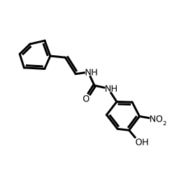 O=C(NC=Cc1ccccc1)Nc1ccc(O)c([N+](=O)[O-])c1